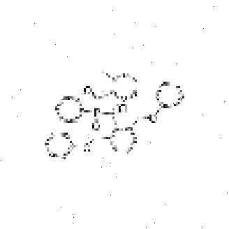 Cc1cccc(Cl)c1C(=O)P(=O)(C(=O)c1c(COc2ccccc2)cccc1COc1ccccc1)c1ccccc1